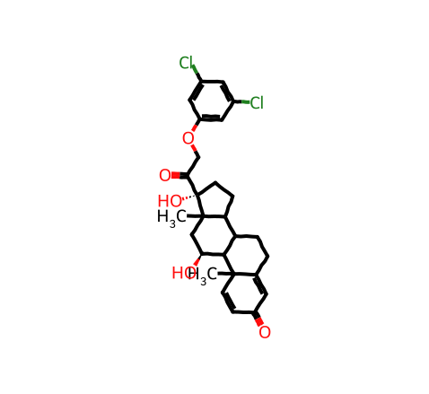 CC12C=CC(=O)C=C1CCC1C2[C@@H](O)CC2(C)C1CC[C@]2(O)C(=O)COc1cc(Cl)cc(Cl)c1